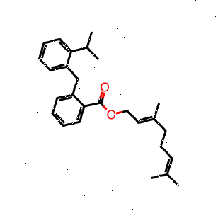 CC(C)=CCC/C(C)=C/COC(=O)c1ccccc1Cc1ccccc1C(C)C